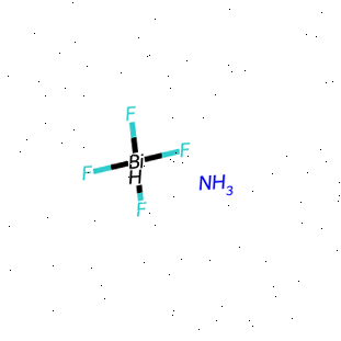 N.[F][BiH]([F])([F])[F]